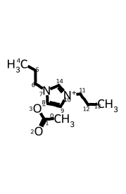 CC(=O)[O-].CCCn1cc[n+](CCC)c1